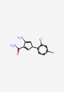 NC(=O)C1=CC(c2ccc(I)cc2Cl)C=C1N